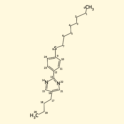 CCCCCCCCSc1ccc(-c2ncc(CCCC)cn2)cc1